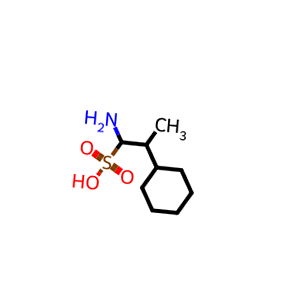 CC(C1CCCCC1)C(N)S(=O)(=O)O